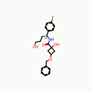 O=C(N[C@@H](CCCO)c1ccc(F)cc1)C1(O)CC(OCc2ccccc2)C1